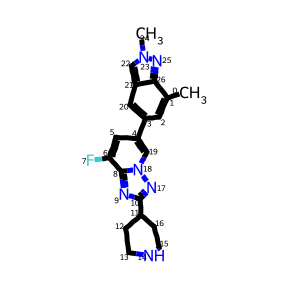 Cc1cc(-c2cc(F)c3nc(C4CCNCC4)nn3c2)cc2cn(C)nc12